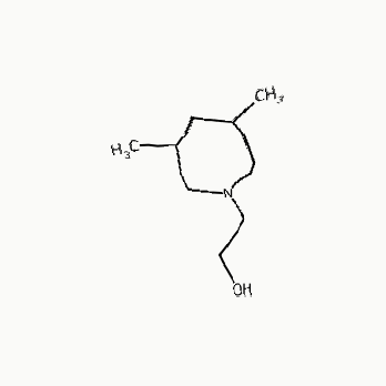 CC1CC(C)CN(CCO)C1